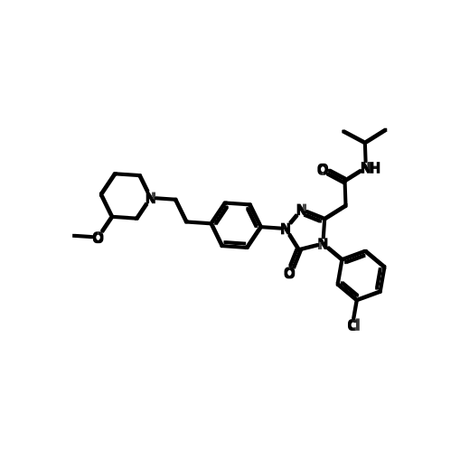 COC1CCCN(CCc2ccc(-n3nc(CC(=O)NC(C)C)n(-c4cccc(Cl)c4)c3=O)cc2)C1